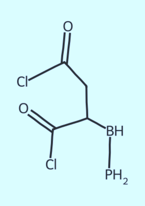 O=C(Cl)CC(BP)C(=O)Cl